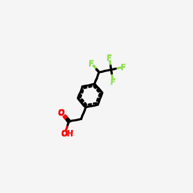 O=C(O)Cc1ccc(C(F)C(F)(F)F)cc1